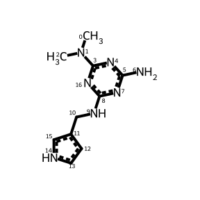 CN(C)c1nc(N)nc(NCc2cc[nH]c2)n1